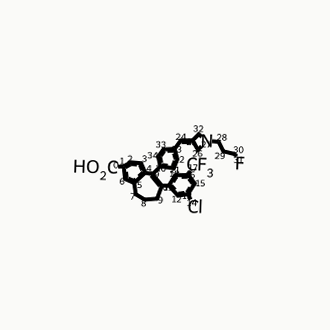 O=C(O)c1ccc2c(c1)CCCC(c1cc(Cl)cc(C(F)(F)F)c1)=C2c1ccc(C=C2CN(CCCF)C2)cc1